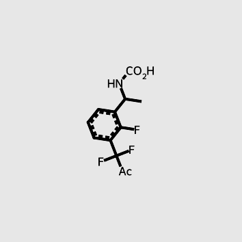 CC(=O)C(F)(F)c1cccc(C(C)NC(=O)O)c1F